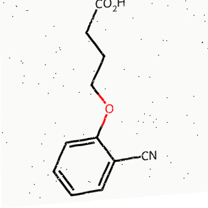 N#Cc1ccccc1OCCCC(=O)O